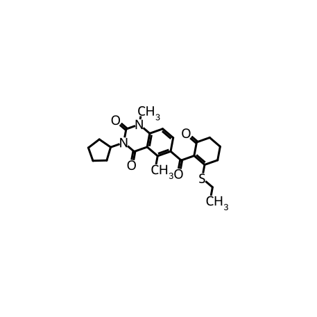 CCSC1=C(C(=O)c2ccc3c(c2C)c(=O)n(C2CCCC2)c(=O)n3C)C(=O)CCC1